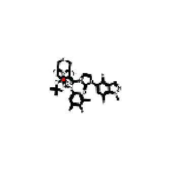 Cc1cc(-n2nc3c(c2-n2ccn(-c4cc(F)c5c(cnn5C)c4F)c2=O)[C@@H]2COC[C@H](C3)N2C(=O)OC(C)(C)C)cc(C)c1F